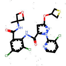 CC1(NC(=O)c2cc(Cl)cc(Cl)c2NC(=O)c2cc(OC3CSC3)nn2-c2ncccc2Cl)COC1